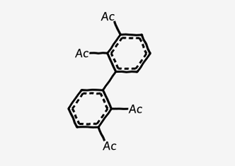 CC(=O)c1cccc(-c2cccc(C(C)=O)c2C(C)=O)c1C(C)=O